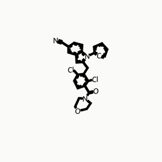 N#Cc1ccc2c(c1)cc(Cc1c(Cl)ccc(C(=O)N3CCOCC3)c1Cl)n2-c1ccccc1